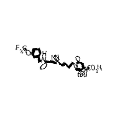 CC(C)(C)N(C(=O)O)c1ccn(CCCCn2cc(C(=O)NCc3cccc(OC(F)(F)F)c3)nn2)c(=O)c1